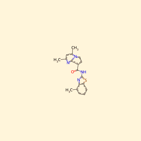 Cc1cc(C)n2ccc(C(=O)Nc3nc4c(C)cccc4s3)c2n1